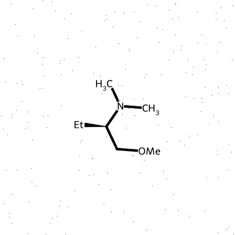 CC[C@H](COC)N(C)C